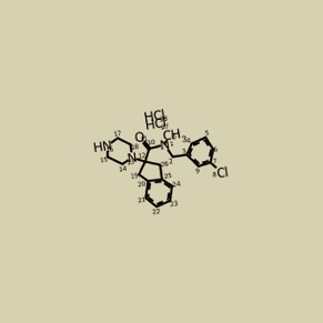 CN(Cc1cccc(Cl)c1)C(=O)C1(N2CCNCC2)Cc2ccccc2C1.Cl.Cl